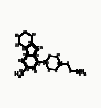 NCCN1CCN(c2nc(N)nc3c4c(sc23)CCCC4)CC1